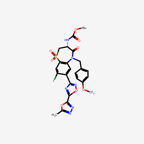 Cc1nnc(-c2nc(-c3cc4c(cc3F)S(=O)(=O)C[C@H](NC(=O)OC(C)(C)C)C(=O)N4Cc3ccc(OC(F)(F)F)cc3)no2)o1